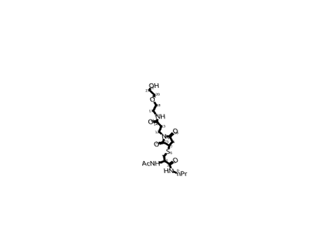 CCCNC(=O)C(CSC1CC(=O)N(CCC(=O)NCCOCCO)C1=O)NC(C)=O